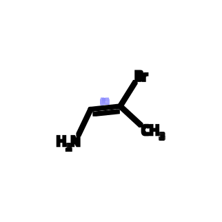 C/C(Br)=C\N